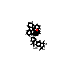 CC1(C)CC(C)(C)c2cc3c(cc21)-c1cc(N(c2ccccc2)c2cccc4c2C(c2ccccc2)(c2ccccc2)c2ccccc2-4)ccc1C3(C)C